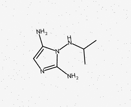 CC(C)Nn1c(N)cnc1N